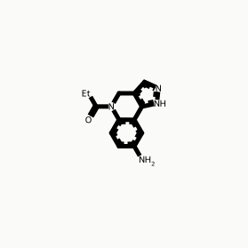 CCC(=O)N1Cc2cn[nH]c2-c2cc(N)ccc21